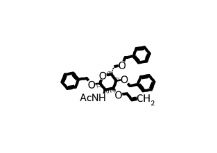 C=CCO[C@@H]1[C@@H](NC(C)=O)[C@@H](OCc2ccccc2)O[C@H](COCc2ccccc2)[C@H]1OCc1ccccc1